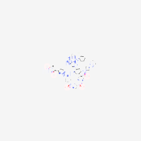 CC(C)n1cnc2cc(-c3ccc4c(c3)N([C@H]3C[C@@H](N5CCCCC5)C3)C(=O)C43CCN(C(=O)[C@@H]4CCN(C(=O)[C@H]5CC[C@H](Nc6ccc(C7CCC(=O)NC7=O)cn6)CC5)C4)CC3)nc(Nc3ccccc3F)c21